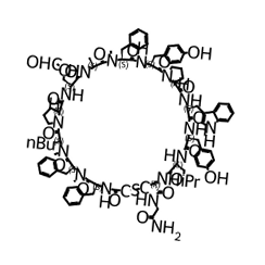 CCCC[C@H]1C(=O)N2CCC[C@@H]2C(=O)N[C@@H](COC=O)C(=O)N[C@@H](C)C(=O)N(C)[C@@H](Cc2ccccc2)C(=O)N[C@@H](Cc2ccc(O)cc2)C(=O)N2CCC[C@@H]2C(=O)N[C@@H](Cc2c[nH]c3ccccc23)C(=O)N[C@@H](Cc2ccc(O)cc2)C(=O)N[C@@H](CC(C)C)C(=O)N[C@H](C(=O)NCC(N)=O)CSCC(=O)N[C@@H](Cc2ccccc2)C(=O)N(C)[C@@H](Cc2ccccc2)C(=O)N1C